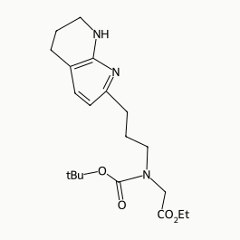 CCOC(=O)CN(CCCc1ccc2c(n1)NCCC2)C(=O)OC(C)(C)C